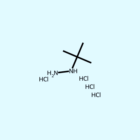 CC(C)(C)NN.Cl.Cl.Cl.Cl